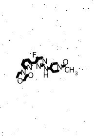 CC(=O)N1CCC(Nc2ncc(F)c(-c3cccc(N4CCOCC4=O)n3)n2)CC1